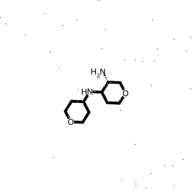 N[C@@H]1COCCC1NC1CCOCC1